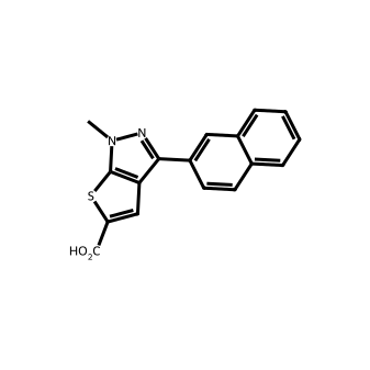 Cn1nc(-c2ccc3ccccc3c2)c2cc(C(=O)O)sc21